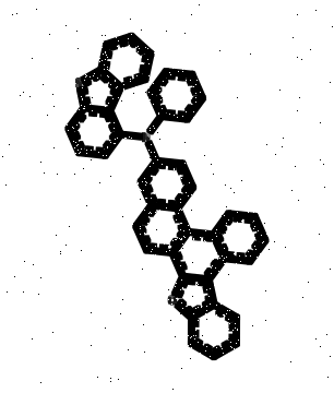 c1ccc(N(c2ccc3c(ccc4c5oc6ccccc6c5c5ccccc5c34)c2)c2cccc3sc4ccccc4c23)cc1